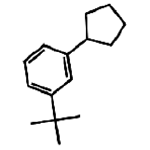 CC(C)(C)c1cc[c]c(C2CCCC2)c1